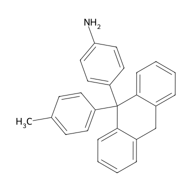 Cc1ccc(C2(c3ccc(N)cc3)c3ccccc3Cc3ccccc32)cc1